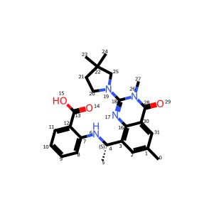 Cc1cc([C@H](C)Nc2ccccc2C(=O)O)c2nc(N3CCC(C)(C)C3)n(C)c(=O)c2c1